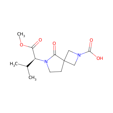 COC(=O)[C@H](C(C)C)N1CCC2(CN(C(=O)O)C2)C1=O